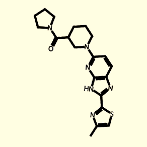 Cc1csc(-c2nc3ccc(N4CCCC(C(=O)N5CCCC5)C4)nc3[nH]2)n1